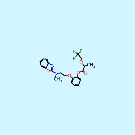 CC(OCC(F)(F)F)C(=O)Oc1ccccc1OCCN(C)c1nc2ccccc2o1